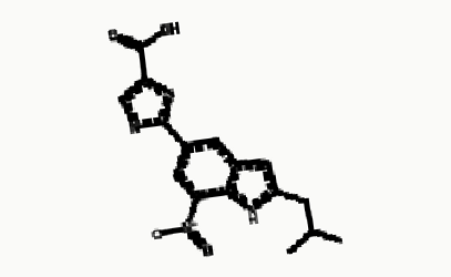 CC(C)Cc1cc2cc(-c3ncc(C(=O)O)s3)cc([N+](=O)[O-])c2[nH]1